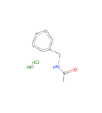 CC(=O)NCc1ccccc1.Cl.Cl